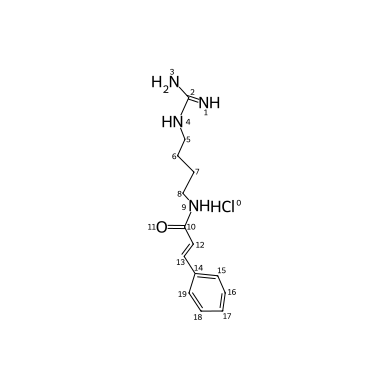 Cl.N=C(N)NCCCCNC(=O)C=Cc1ccccc1